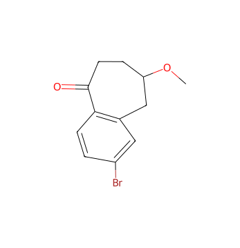 COC1CCC(=O)c2ccc(Br)cc2C1